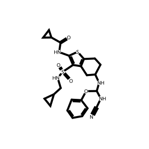 N#CNC(NC1CCc2sc(NC(=O)C3CC3)c(S(=O)(=O)NCC3CC3)c2C1)Oc1ccccc1